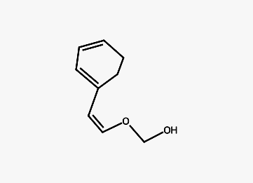 OCO/C=C\C1=CC=CCC1